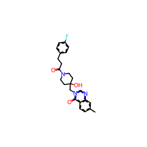 Cc1ccc2c(=O)n(CC3(O)CCN(C(=O)CCc4ccc(F)cc4)CC3)cnc2c1